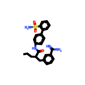 CCCC(Cc1cccc(C(=N)N)c1)C(=O)Nc1ccc(-c2ccccc2S(N)(=O)=O)cc1